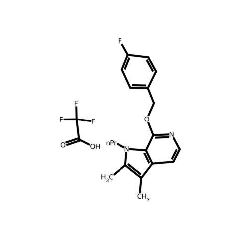 CCCn1c(C)c(C)c2ccnc(OCc3ccc(F)cc3)c21.O=C(O)C(F)(F)F